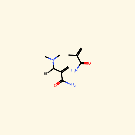 C=C(C(N)=O)C(CC)N(C)C.C=C(C)C(N)=O